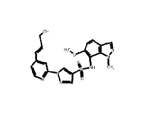 COc1ccc2cnn(C)c2c1NS(=O)(=O)c1cnn(-c2cc(C=CCO)ccn2)c1